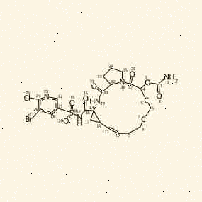 NC(=O)OC1CCCCCC=CC2CC2(C(=O)NS(=O)(=O)c2cnc(Cl)c(Br)c2)NC(=O)C2CCCN2C1=O